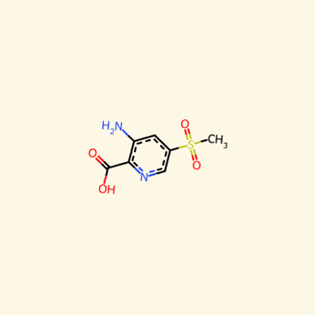 CS(=O)(=O)c1cnc(C(=O)O)c(N)c1